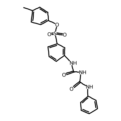 Cc1ccc(OS(=O)(=O)c2cccc(NC(=O)NC(=O)Nc3ccccc3)c2)cc1